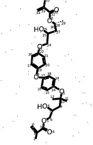 C=C(C)C(=O)OCC(O)CC(C)(C)Oc1ccc(Oc2ccc(OCC(O)C[C@@H](C)OC(=O)C(=C)C)cc2)cc1